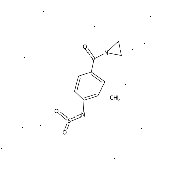 C.O=C(c1ccc(N=S(=O)=O)cc1)N1CC1